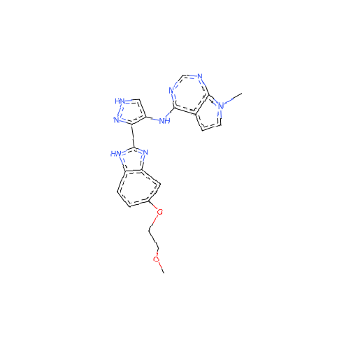 COCCOc1ccc2[nH]c(-c3n[nH]cc3Nc3ncnc4c3ccn4C)nc2c1